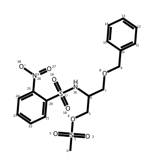 CS(=O)(=O)OCC(COCc1ccccc1)NS(=O)(=O)c1ccccc1[N+](=O)[O-]